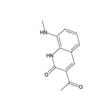 CNc1cccc2cc(C(C)=O)c(=O)[nH]c12